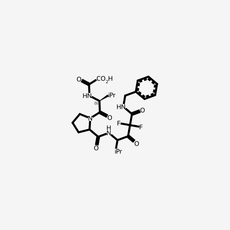 CC(C)C(NC(=O)C1CCCN1C(=O)[C@@H](NC(=O)C(=O)O)C(C)C)C(=O)C(F)(F)C(=O)NCc1ccccc1